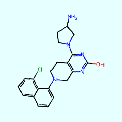 NC1CCN(c2nc(O)nc3c2CCN(c2cccc4cccc(Cl)c24)C3)C1